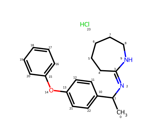 CC(N=C1CCCCCN1)c1ccc(Oc2ccccc2)cc1.Cl